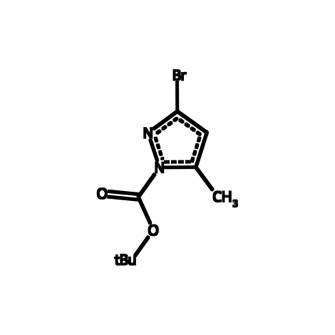 Cc1cc(Br)nn1C(=O)OC(C)(C)C